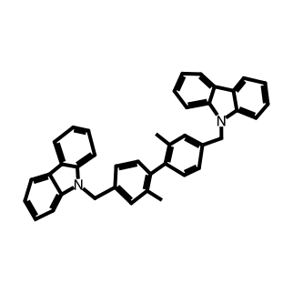 Cc1cc(Cn2c3ccccc3c3ccccc32)ccc1-c1ccc(Cn2c3ccccc3c3ccccc32)cc1C